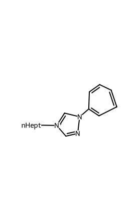 CCCCCCC[n+]1cnn(-c2ccccc2)c1